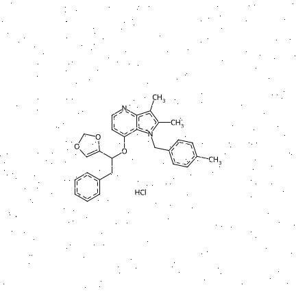 Cc1ccc(Cn2c(C)c(C)c3nccc(OC(Cc4ccccc4)C4=COCO4)c32)cc1.Cl